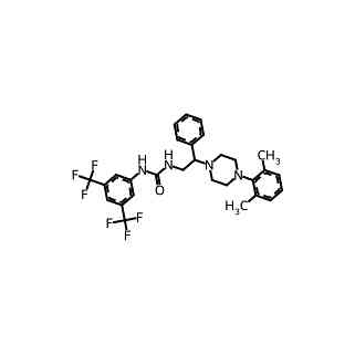 Cc1cccc(C)c1N1CCN(C(CNC(=O)Nc2cc(C(F)(F)F)cc(C(F)(F)F)c2)c2ccccc2)CC1